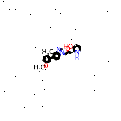 COc1cccc(-c2ccc3c(ncn3CC(=O)C[C@H]3NCCC[C@@H]3O)c2C)c1